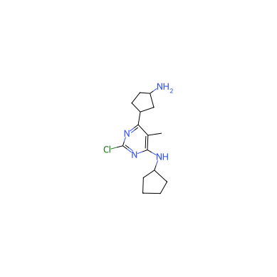 Cc1c(NC2CCCC2)nc(Cl)nc1C1CCC(N)C1